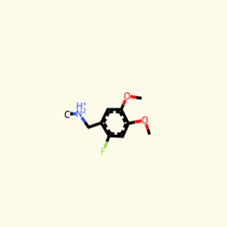 [CH2-][NH2+]Cc1cc(OC)c(OC)cc1F